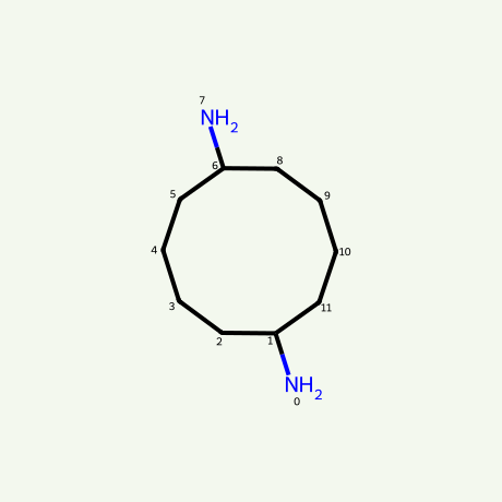 NC1CCCCC(N)CCCC1